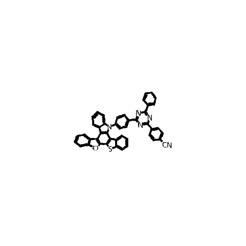 N#Cc1ccc(-c2nc(-c3ccccc3)nc(-c3ccc(-n4c5ccccc5c5c6c7ccccc7oc6c6sc7ccccc7c6c54)cc3)n2)cc1